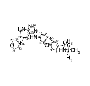 CC(C)(C)NC(=O)c1cccc(Oc2ccc(Nc3ncnc4c3C=C(CN3CCOCC3)CCN4)cc2Cl)c1